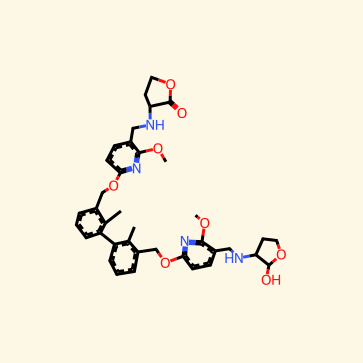 COc1nc(OCc2cccc(-c3cccc(COc4ccc(CNC5CCOC5O)c(OC)n4)c3C)c2C)ccc1CNC1CCOC1=O